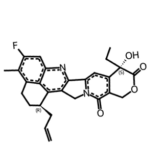 C=CC[C@H]1CCc2c(C)c(F)cc3nc4c(c1c23)Cn1c-4cc2c(c1=O)COC(=O)[C@]2(O)CC